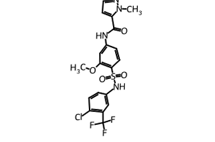 COc1cc(NC(=O)c2ccnn2C)ccc1S(=O)(=O)Nc1ccc(Cl)c(C(F)(F)F)c1